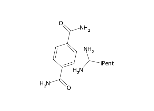 CCCC(C)C(N)N.NC(=O)c1ccc(C(N)=O)cc1